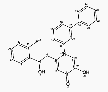 O=c1cc(CC(O)c2ccccc2F)n(-c2cccc(-c3ccccc3)c2)cc1O